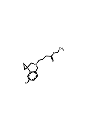 CCOC(=O)CCCN1Cc2ccc(Br)cc2C2(CC2)C1